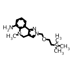 CN1Cc2cn(COCC[Si](C)(C)C)nc2-c2cccc(N)c21